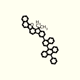 CC1(C)c2ccc(-c3ccc(-c4c5ccccc5c(-c5ccccc5)c5ccccc45)c4ccccc34)cc2-c2ccc3c(oc4c5ccccc5ccc34)c21